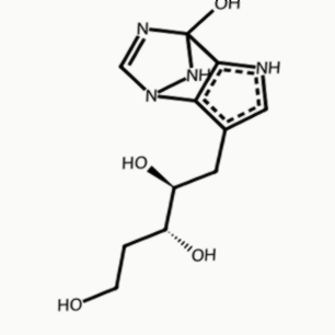 OCC[C@@H](O)[C@@H](O)Cc1c[nH]c2c1N1C=NC2(O)N1